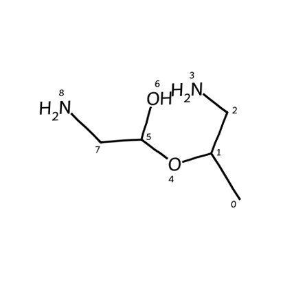 CC(CN)OC(O)CN